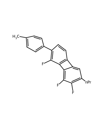 CCCc1cc2c(c(F)c1F)-c1c-2ccc(-c2ccc(C)cc2)c1F